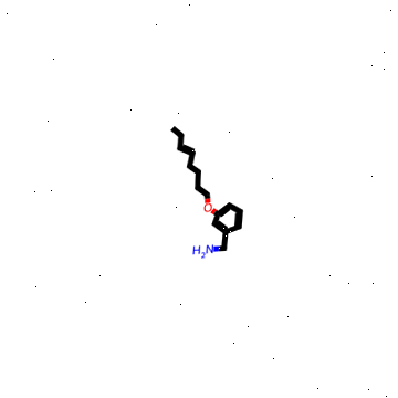 CCC=CCCCCOc1cccc(CN)c1